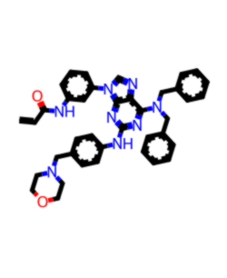 C=CC(=O)Nc1cccc(-n2cnc3c(N(Cc4ccccc4)Cc4ccccc4)nc(Nc4ccc(CN5CCOCC5)cc4)nc32)c1